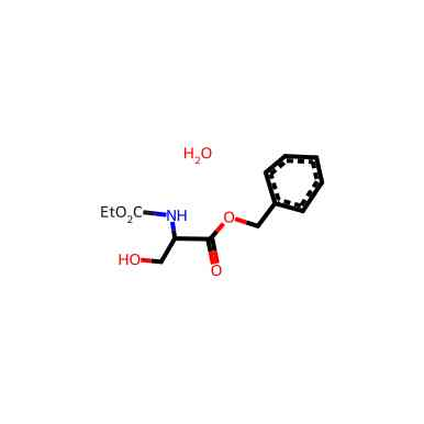 CCOC(=O)NC(CO)C(=O)OCc1ccccc1.O